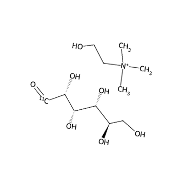 C[N+](C)(C)CCO.O=[11CH][C@H](O)[C@@H](O)[C@H](O)[C@H](O)CO